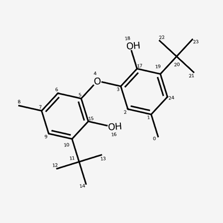 Cc1cc(Oc2cc(C)cc(C(C)(C)C)c2O)c(O)c(C(C)(C)C)c1